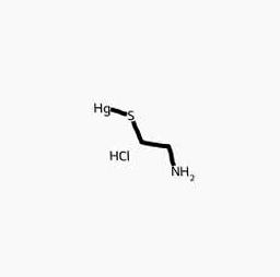 Cl.NCC[S][Hg]